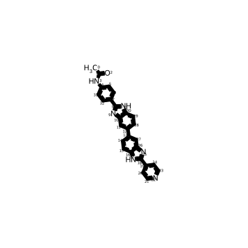 CC(=O)Nc1ccc(-c2nc3cc(-c4ccc5[nH]c(-c6ccncc6)nc5c4)ccc3[nH]2)cc1